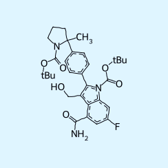 CC(C)(C)OC(=O)N1CCCC1(C)c1ccc(-c2c(CO)c3c(C(N)=O)cc(F)cc3n2C(=O)OC(C)(C)C)cc1